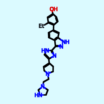 CCc1cc(O)ccc1-c1ccc2c(-c3nc(C4=CCN(CCN5CCNC5)CC4)c[nH]3)n[nH]c2c1